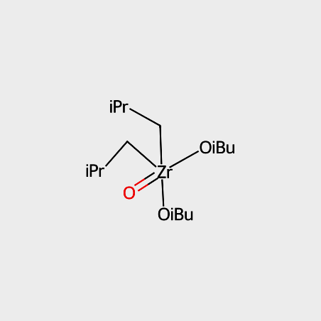 CC(C)C[O][Zr](=[O])([CH2]C(C)C)([CH2]C(C)C)[O]CC(C)C